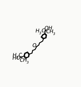 CC(C)(O)c1ccc(CCCC(=O)CCCc2ccc(C(C)(C)O)cc2)cc1